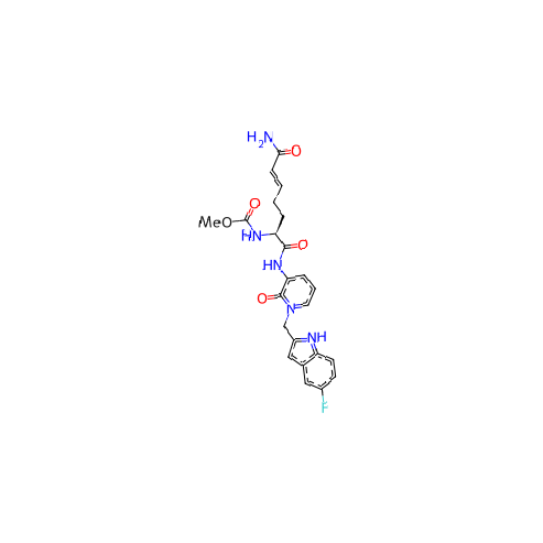 COC(=O)N[C@@H](CC/C=C/C(N)=O)C(=O)Nc1cccn(Cc2cc3cc(F)ccc3[nH]2)c1=O